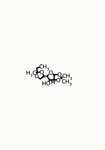 CCC1(C)OC[C@H](C2OC3OC(C)(C)O[C@@H]3[C@@H]2O)O1